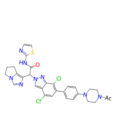 CC(=O)N1CCN(c2ccc(-c3cc(Cl)c4cn(C(C(=O)Nc5nccs5)c5ncn6c5CCC6)nc4c3Cl)cc2)CC1